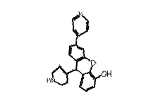 Oc1cccc2c1Oc1cc(-c3ccncc3)ccc1C2C1CCNCC1